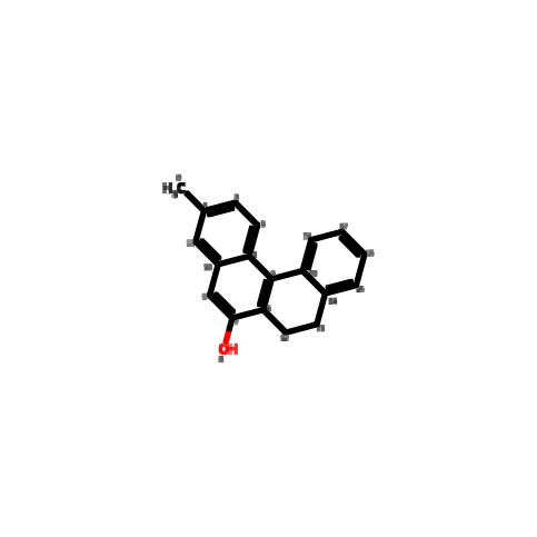 Cc1ccc2c3c(c(O)cc2c1)CCc1ccccc1-3